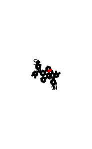 Cc1ccc(N(c2ccc([Si](C)(C)C)cc2)c2ccc(-c3c(-c4ccccc4)cc(N(c4ccc([Si](C)(C)C)cc4)c4ccc(C)c(C)c4)c4ccccc34)c(-c3ccccc3)c2)cc1C